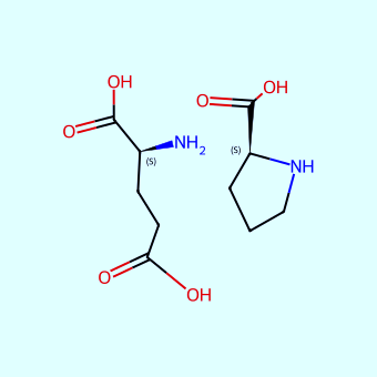 N[C@@H](CCC(=O)O)C(=O)O.O=C(O)[C@@H]1CCCN1